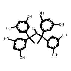 CC(c1cc(O)cc(O)c1)(c1cc(O)cc(O)c1)C(Cl)C(C)(c1cc(O)cc(O)c1)c1cc(O)cc(O)c1